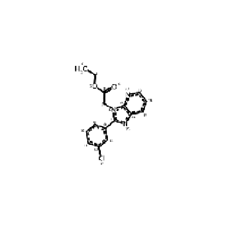 CCOC(=O)Cn1c(-c2cccc(Cl)c2)nc2cccnc21